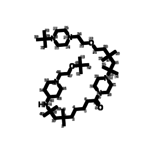 CC(C)(CCCCC(=O)N1CCN(C(C)(C)CC(C)(C)CCOCCN2CCN(C(C)(C)C)CC2)CC1)CC(C)(C)NC1CCN(CCOC(C)(C)C)CC1